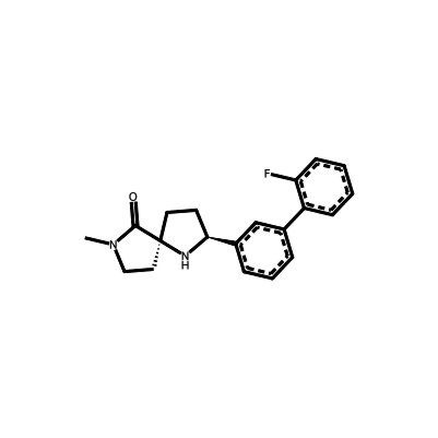 CN1CC[C@@]2(CC[C@@H](c3cccc(-c4ccccc4F)c3)N2)C1=O